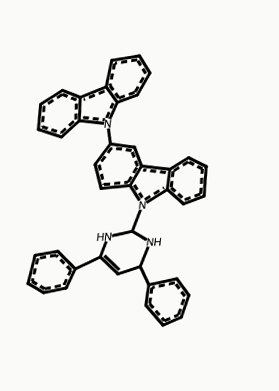 C1=C(c2ccccc2)NC(n2c3ccccc3c3cc(-n4c5ccccc5c5ccccc54)ccc32)NC1c1ccccc1